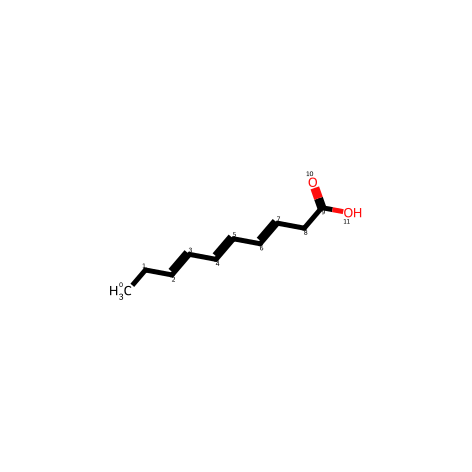 CCC=CC=CC=CCC(=O)O